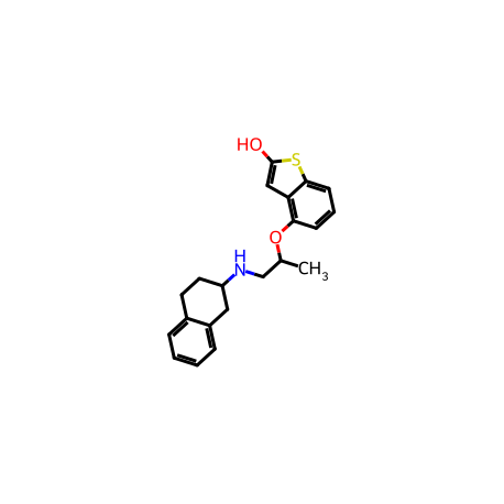 CC(CNC1CCc2ccccc2C1)Oc1cccc2sc(O)cc12